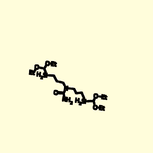 CCOC(OCC)[SiH2]CCCN(CCC[SiH2]C(OCC)OCC)C(N)=O